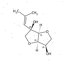 CC(C)=C[C@@]1(O)CO[C@@H]2[C@H](O)CO[C@@H]21